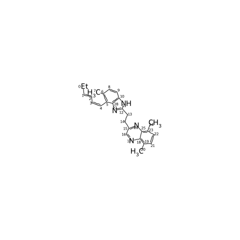 CC/C=C/C=C\c1c(C)ccc2[nH]c(CCc3cnc4c(C)ccc(C)c4n3)nc12